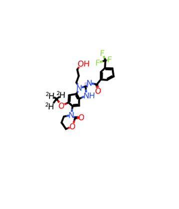 [2H]C([2H])([2H])Oc1cc2c(cc1N1CCCOC1=O)[nH]/c(=N\C(=O)c1cccc(C(F)(F)F)c1)n2CCCO